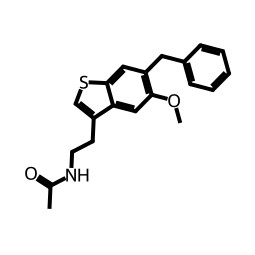 COc1cc2c(CCNC(C)=O)csc2cc1Cc1ccccc1